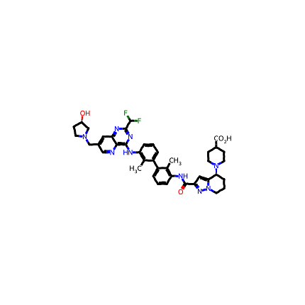 Cc1c(NC(=O)c2cc3n(n2)CCC[C@@H]3N2CCC(C(=O)O)CC2)cccc1-c1cccc(Nc2nc(C(F)F)nc3cc(CN4CC[C@@H](O)C4)cnc23)c1C